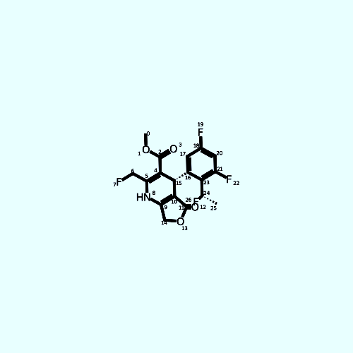 COC(=O)C1=C(CF)NC2=C(C(=O)OC2)[C@H]1c1cc(F)cc(F)c1[C@H](C)F